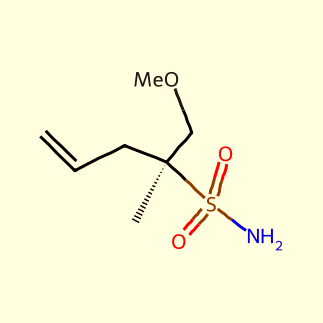 C=CC[C@@](C)(COC)S(N)(=O)=O